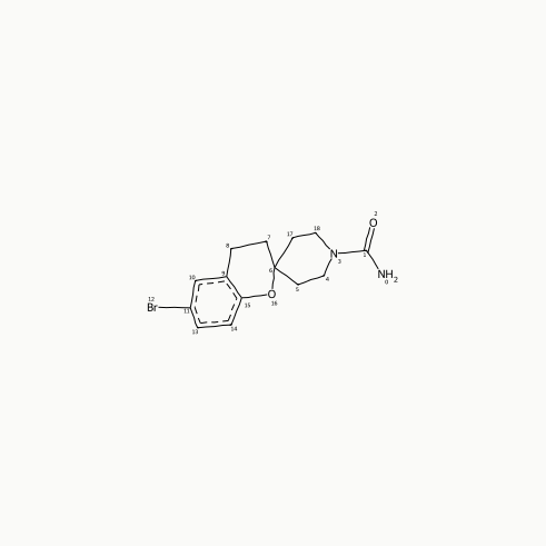 NC(=O)N1CCC2(CCc3cc(Br)ccc3O2)CC1